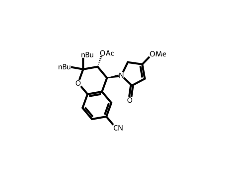 CCCCC1(CCCC)Oc2ccc(C#N)cc2[C@H](N2CC(OC)=CC2=O)[C@H]1OC(C)=O